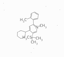 Cc1ccccc1-c1cc(C2CCCCC2)c([Si](C)(C)C)c[n+]1C